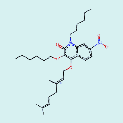 CCCCCCOc1c(OC/C=C(\C)CCC=C(C)C)c2ccc([N+](=O)[O-])cc2n(CCCCCC)c1=O